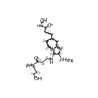 CCCCCCc1nc2cc(/C=C/C(=O)NO)ccn2c1NCCC(=O)N(CCO)C(C)C